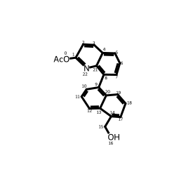 CC(=O)Oc1ccc2cccc(-c3cccc4c(CO)cccc34)c2n1